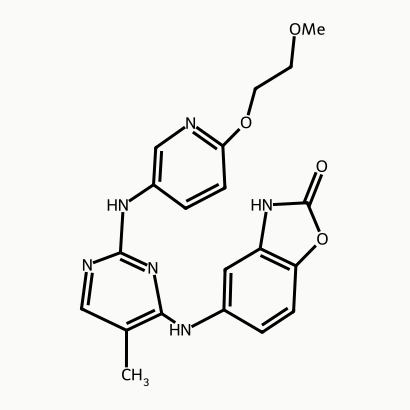 COCCOc1ccc(Nc2ncc(C)c(Nc3ccc4oc(=O)[nH]c4c3)n2)cn1